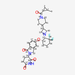 CC1CC1C(=O)N1CCC(C2CN([C@H]3[C@@H](Oc4ccc5c(c4)CN(C4CCC(=O)NC4=O)C5=O)CCCC3(F)F)C2)CC1